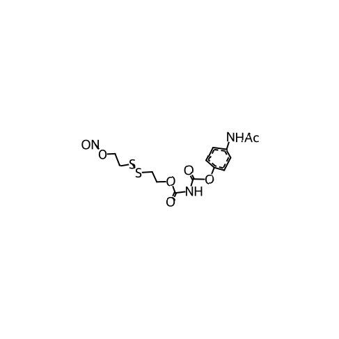 CC(=O)Nc1ccc(OC(=O)NC(=O)OCCSSCCON=O)cc1